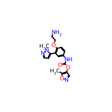 Cc1oncc1OC(=O)Nc1ccc(OCCN)c(-c2ccnn2C)c1